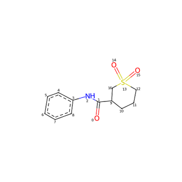 O=C(Nc1ccccc1)C1CCCS(=O)(=O)C1